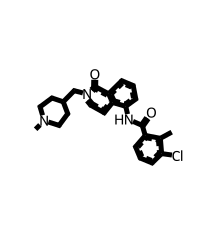 Cc1c(Cl)cccc1C(=O)Nc1cccc2c(=O)n(CC3CCN(C)CC3)ccc12